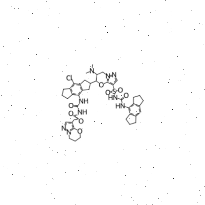 CN(C)C1Cn2ncc(S(=O)(=O)NC(=O)Nc3c4c(cc5c3CCC5)CCC4)c2OC1C1Cc2c(Cl)c3c(c(NC(=O)NS(=O)(=O)c4cnn5c4OCCC5)c2C1)CCC3